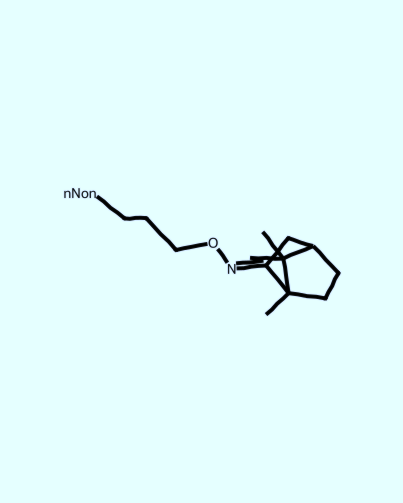 CCCCCCCCCCCCON=C1CC2CCC1(C)C2(C)C